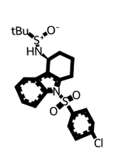 CC(C)(C)[S+]([O-])N[C@H]1CCCc2c1c1ccccc1n2S(=O)(=O)c1ccc(Cl)cc1